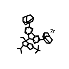 CCC1(C2c3ccc(C45CC6CC(CC(C6)C4)C5)cc3-c3cc(C45CC6CC(CC(C6)C4)C5)ccc32)CC(C(C)C)C2=C1C=C(C(C)(C)C)C2.[Zr]